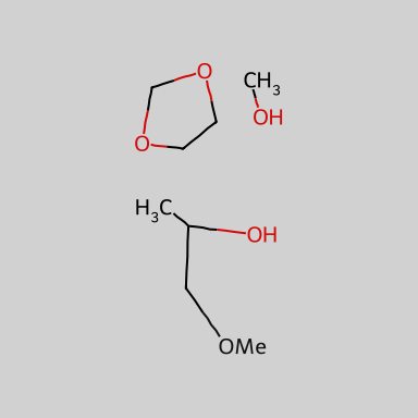 C1COCO1.CO.COCC(C)O